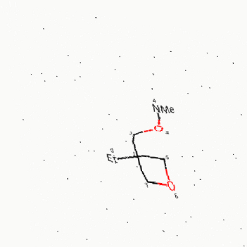 CCC1(CONC)COC1